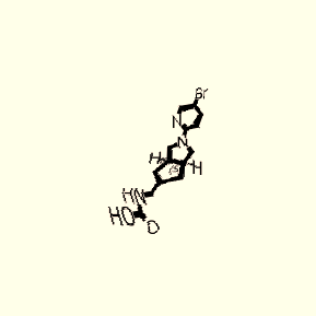 O=C(O)NCC1C[C@@H]2CN(c3ccc(Br)cn3)C[C@@H]2C1